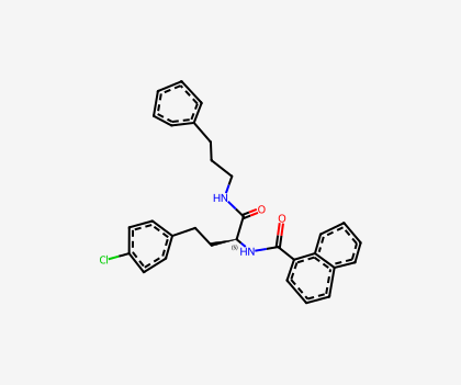 O=C(N[C@@H](CCc1ccc(Cl)cc1)C(=O)NCCCc1ccccc1)c1cccc2ccccc12